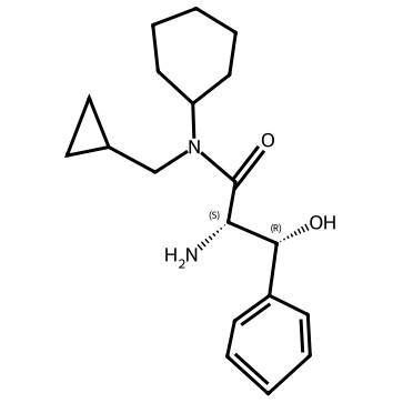 N[C@H](C(=O)N(CC1CC1)C1CCCCC1)[C@H](O)c1ccccc1